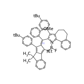 CCC1=C2C(=C(c3ccc(C(C)(C)C)cc3)/C1=C(\c1ccccc1OC)c1c(-c3ccc(C(C)(C)C)cc3)c3c(n1B(F)F)-c1ccccc1CCC3)C(C)(C)c1ccccc12